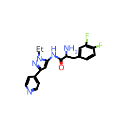 CCn1nc(-c2ccncc2)cc1NC(=O)C(N)Cc1ccc(F)c(F)c1